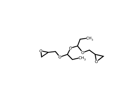 CCC(OCC1CO1)OC(CC)OCC1CO1